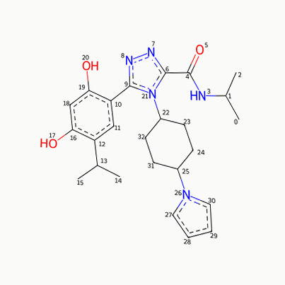 CC(C)NC(=O)c1nnc(-c2cc(C(C)C)c(O)cc2O)n1C1CCC(n2cccc2)CC1